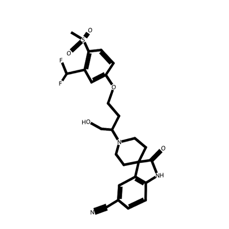 CS(=O)(=O)c1ccc(OCCC(CO)N2CCC3(CC2)C(=O)Nc2ccc(C#N)cc23)cc1C(F)F